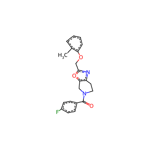 Cc1ccccc1OCc1nc2c(o1)CN(C(=O)c1ccc(F)cc1)CC2